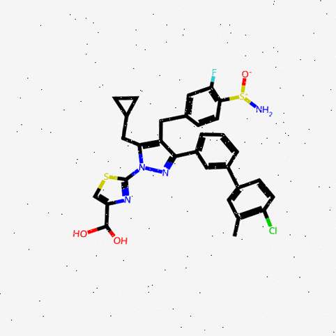 Cc1cc(-c2cccc(-c3nn(-c4nc(C(O)O)cs4)c(CC4CC4)c3Cc3ccc([S+](N)[O-])c(F)c3)c2)ccc1Cl